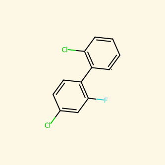 Fc1cc(Cl)ccc1-c1[c]cccc1Cl